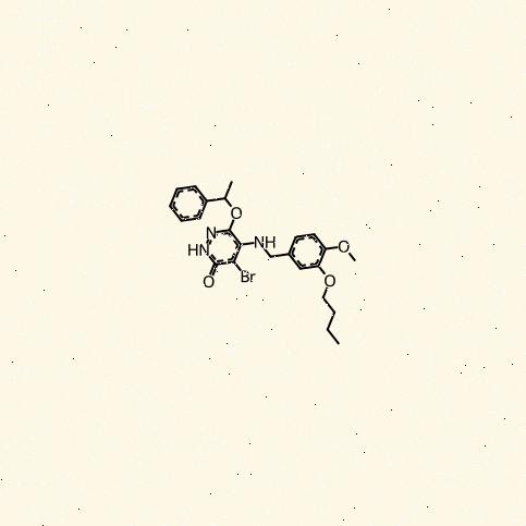 CCCCOc1cc(CNc2c(OC(C)c3ccccc3)n[nH]c(=O)c2Br)ccc1OC